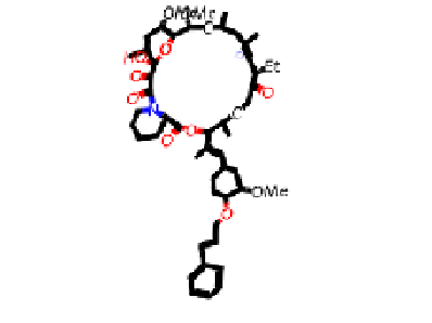 CCC1/C=C(\C)CC(C)CC(OC)C2OC(O)(C(=O)C(=O)N3CCCCC3C(=O)OC(C(C)=CC3CCC(OCC=Cc4ccccc4)C(OC)C3)C(C)CCC1=O)C(C)CC2OC